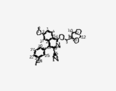 COc1ccc2c(OC[C@H]3COCO3)nc(C#N)c(-c3cccc(F)c3)c2c1